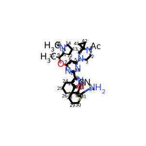 CC(=O)N1CCN(c2cc(O[C@@H](C)[C@@H]3CCCN3C)nc(-c3noc4c3CCC[C@@]43CCCc4sc(N)c(C#N)c43)n2)CC12CC2